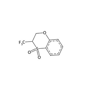 O=S1(=O)c2ccccc2OCC1C(F)(F)F